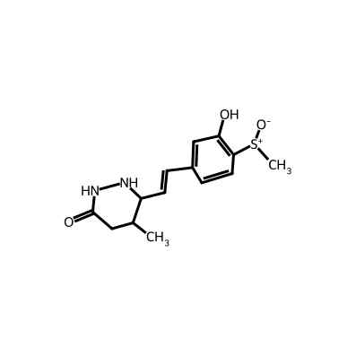 CC1CC(=O)NNC1/C=C/c1ccc([S+](C)[O-])c(O)c1